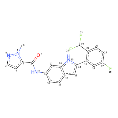 Cn1nccc1C(=O)Nc1ccc2cc(-c3cc(F)ccc3C(F)F)[nH]c2c1